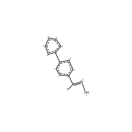 CC(=NO)c1ccc(-c2ccccc2)cc1